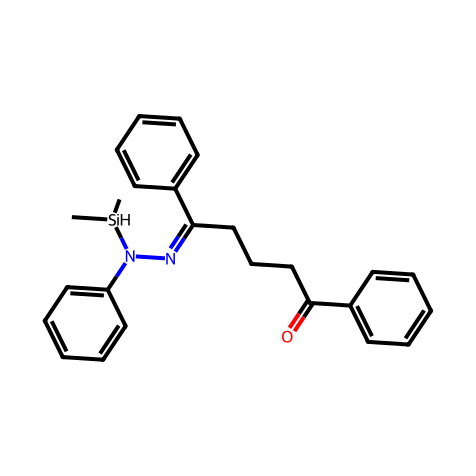 C[SiH](C)N(N=C(CCCC(=O)c1ccccc1)c1ccccc1)c1ccccc1